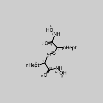 CCCCCCCC(SSC(CCCCCCC)C(=O)NO)C(=O)NO